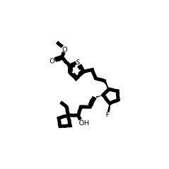 CCC1(C(O)C/C=C/[C@@H]2[C@@H](CCCc3ccc(C(=O)OC)s3)CC[C@H]2F)CCC1